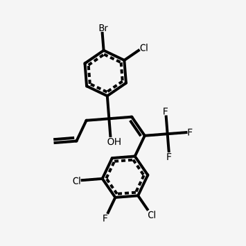 C=CCC(O)(C=C(c1cc(Cl)c(F)c(Cl)c1)C(F)(F)F)c1ccc(Br)c(Cl)c1